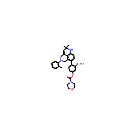 COc1cc(OC(=O)N2CCOCC2)ccc1-c1ccc2c(c1CNc1ccccc1C)C(C)=CC(C)(C)N2